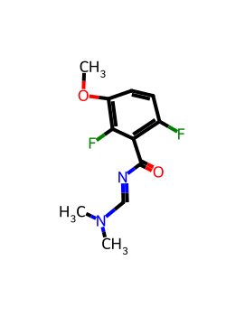 COc1ccc(F)c(C(=O)/N=C/N(C)C)c1F